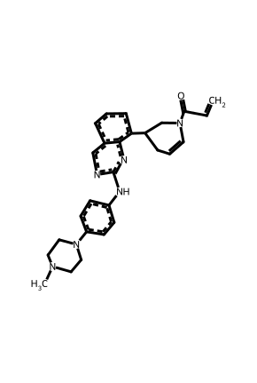 C=CC(=O)N1C=CCC(c2cccc3cnc(Nc4ccc(N5CCN(C)CC5)cc4)nc23)C1